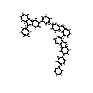 c1ccc(-c2ccc(-c3ccc4oc5c(-c6cccc7sc8cc(-c9cccc(-c%10ccc%11c(c%10)c%10ccccc%10n%11-c%10ccccc%10)c9)ccc8c67)ncnc5c4c3)cc2)cc1